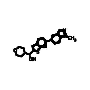 Cn1ncc2cc(-c3ccc4cc([C@H](O)C5CCOCC5)sc4n3)ccc21